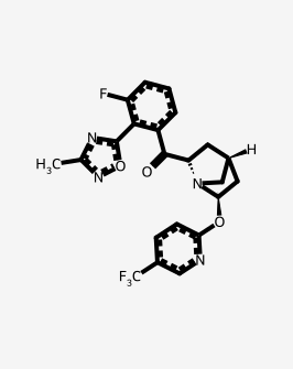 Cc1noc(-c2c(F)cccc2C(=O)C2C[C@@H]3C[C@@H](Oc4ccc(C(F)(F)F)cn4)[N@@]2C3)n1